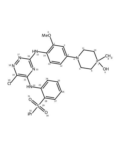 COc1cc(N2CC[P](C)(O)CC2)ccc1Nc1nnc(Cl)c(Nc2ccccc2S(=O)(=O)C(C)C)n1